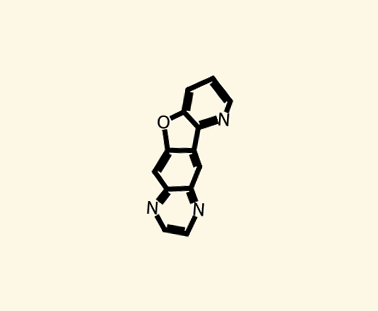 c1cnc2c(c1)oc1cc3nccnc3cc12